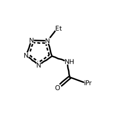 CCn1nnnc1NC(=O)C(C)C